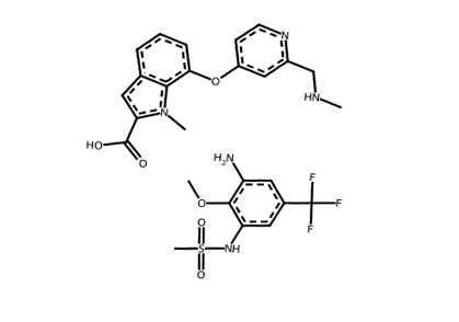 CNCc1cc(Oc2cccc3cc(C(=O)O)n(C)c23)ccn1.COc1c(N)cc(C(F)(F)F)cc1NS(C)(=O)=O